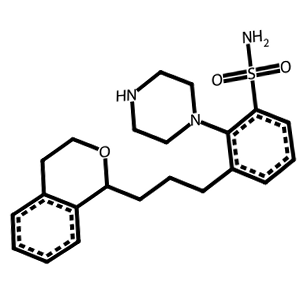 NS(=O)(=O)c1cccc(CCCC2OCCc3ccccc32)c1N1CCNCC1